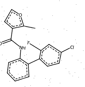 Cc1occc1C(=O)Nc1ccccc1-c1ccc(Cl)cc1F